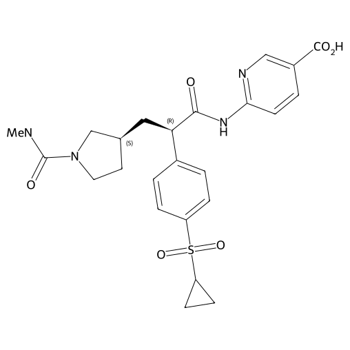 CNC(=O)N1CC[C@H](C[C@@H](C(=O)Nc2ccc(C(=O)O)cn2)c2ccc(S(=O)(=O)C3CC3)cc2)C1